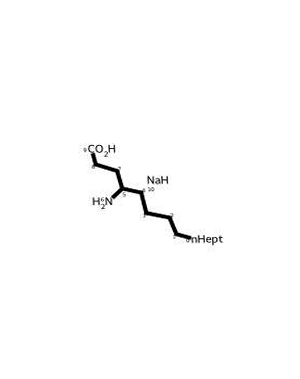 CCCCCCCCCCCC(N)CCC(=O)O.[NaH]